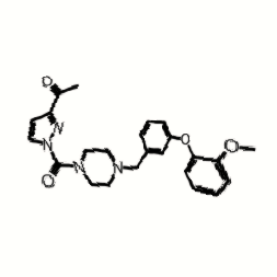 COc1ccccc1Oc1cccc(CN2CCN(C(=O)n3ccc(C(C)=O)n3)CC2)c1